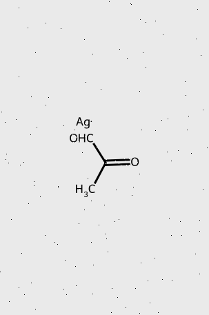 CC(=O)C=O.[Ag]